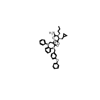 CCCC[C@H](C(N)=O)[C@@H](CC1CC1)C(=O)NC1CN(c2ccccc2)c2ccccc2N(Cc2cccc(Oc3ccccc3)c2)C1=O